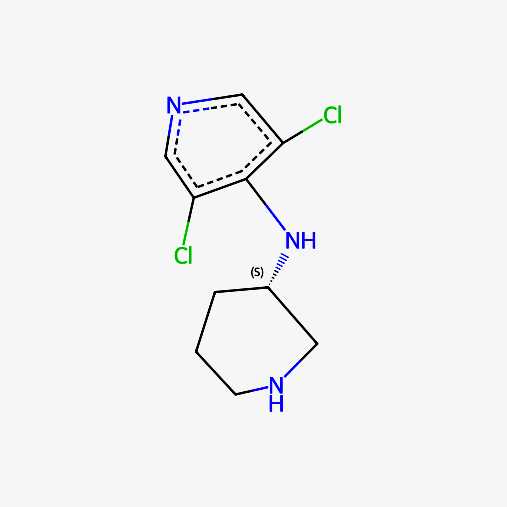 Clc1cncc(Cl)c1N[C@H]1CCCNC1